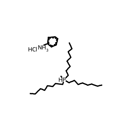 CCCCCCCC[PH](C)(CCCCCCCC)CCCCCCCC.Cc1ccccc1.Cl.N